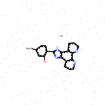 COc1ccc(-c2nc3c4cccnc4c4ncccc4c3[nH]2)c(O)c1.[Pt]